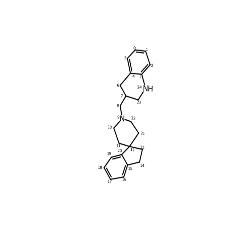 c1ccc2c(c1)CC(CN1CCC3(CCc4ccccc43)CC1)CN2